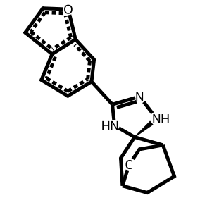 c1cc2ccc(C3=NN[C@@]4(CC5CCC4CC5)N3)cc2o1